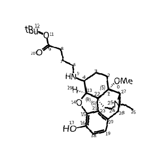 CO[C@@]12CCC(NCCCC(=O)OC(C)(C)C)[C@@H]3Oc4c(O)ccc5c4[C@@]31CCN(C)C2C5